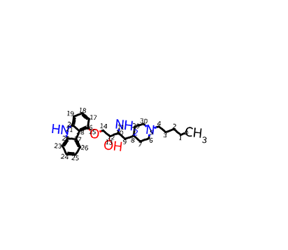 CCCCCN1CCC(CC(N)[C@H](O)COc2cccc3[nH]c4ccccc4c23)CC1